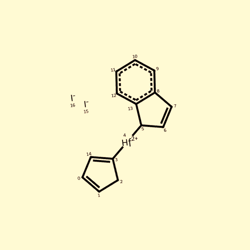 C1=CC[C]([Hf+2][CH]2C=Cc3ccccc32)=C1.[I-].[I-]